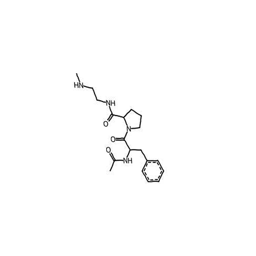 CNCCNC(=O)C1CCCN1C(=O)C(Cc1ccccc1)NC(C)=O